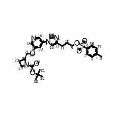 Cc1ccc(S(=O)(=O)OCCCc2cn(-c3cncc(OC[C@@H]4CCN4C(=O)OC(C)(C)C)c3)nn2)cc1